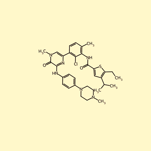 CCc1sc(C(=O)Nc2c(C)ccc(-c3cn(C)c(=O)c(Nc4ccc(N5CCN(C)CC5)cc4)n3)c2Cl)cc1C(C)C